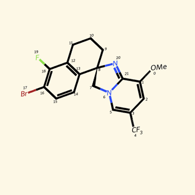 COC1=CC(C(F)(F)F)=CN2C[C@@]3(CCCc4c3ccc(Br)c4F)N=C12